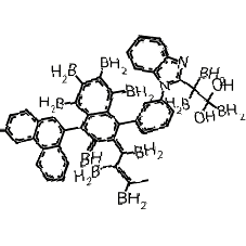 B=c1c(-c2cc3ccccc3c3ccccc23)c2c(B)c(B)c(B)c(B)c2c(-c2cccc(-n3c(C(B)(B)C(B)(O)O)nc4ccccc43)c2)/c1=C(B)/C(B)=C(/B)C